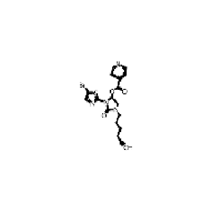 C#CCCCCN1CC(OC(=O)c2ccncc2)N(c2ncc(Br)s2)C1=O